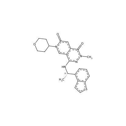 C[C@H](Nc1nn(C)c(=O)c2cc(=O)n(C3CCOCC3)cc12)c1cccc2sccc12